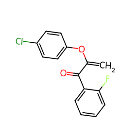 C=C(Oc1ccc(Cl)cc1)C(=O)c1ccccc1F